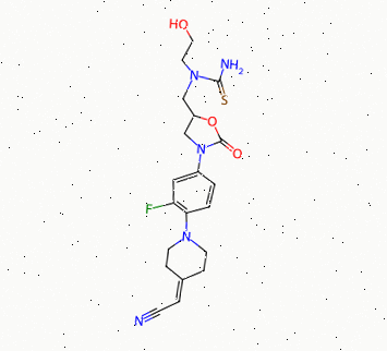 N#CC=C1CCN(c2ccc(N3CC(CN(CCO)C(N)=S)OC3=O)cc2F)CC1